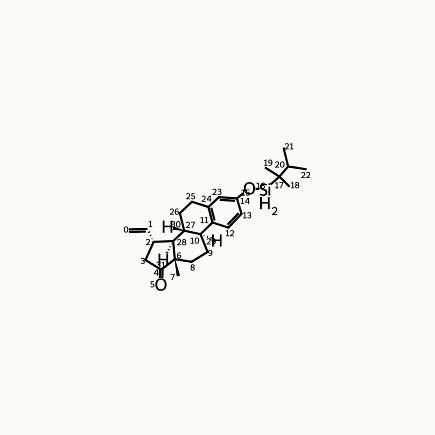 C=C[C@H]1CC(=O)[C@@]2(C)CC[C@@H]3c4ccc(O[SiH2]C(C)(C)C(C)C)cc4CC[C@H]3[C@H]12